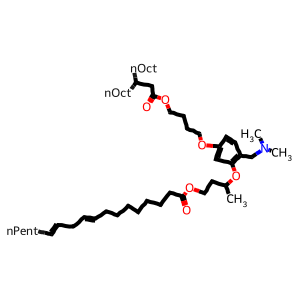 CCCCCC=CCC=CCCCCCCCC(=O)OCCC(C)Oc1cc(OCCCCOC(=O)CC(CCCCCCCC)CCCCCCCC)ccc1CN(C)C